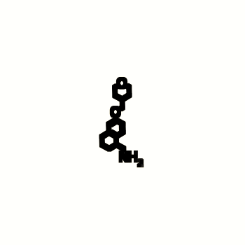 NCC1CCCc2cc(OCC3CCOCC3)ccc21